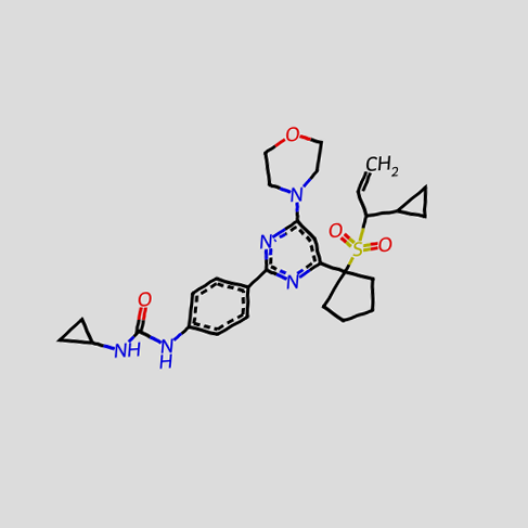 C=CC(C1CC1)S(=O)(=O)C1(c2cc(N3CCOCC3)nc(-c3ccc(NC(=O)NC4CC4)cc3)n2)CCCC1